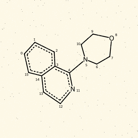 c1ccc2c(N3CCOCC3)nccc2c1